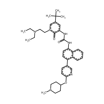 CCN(CC)CCn1cc(C(C)(C)C)cc(NC(=O)Nc2ccc(-c3ccc(OC4CCN(C)CC4)nc3)c3ccccc23)c1=O